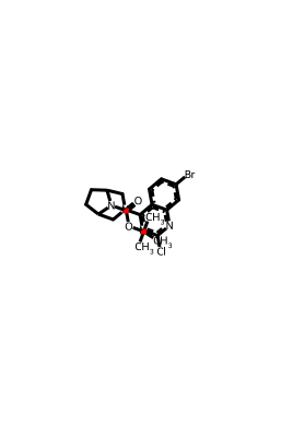 CC(C)(C)OC(=O)N1C2CCC1CN(c1nc(Cl)nc3cc(Br)ccc13)C2